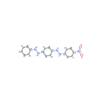 O=[N+]([O-])c1ccc(N=Nc2ccc(N=Nc3ccccc3)cc2)cc1